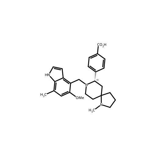 COc1cc(C)c2[nH]ccc2c1CN1CCC2(CCCN2C)C[C@H]1c1ccc(C(=O)O)cc1